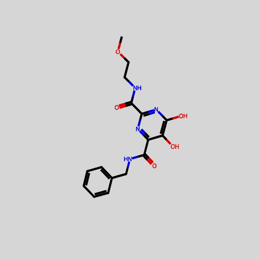 COCCNC(=O)c1nc(O)c(O)c(C(=O)NCc2ccccc2)n1